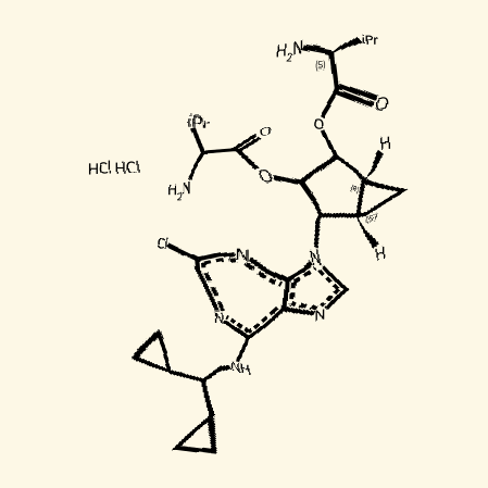 CC(C)C(N)C(=O)OC1C(OC(=O)[C@@H](N)C(C)C)[C@@H]2C[C@@H]2C1n1cnc2c(NC(C3CC3)C3CC3)nc(Cl)nc21.Cl.Cl